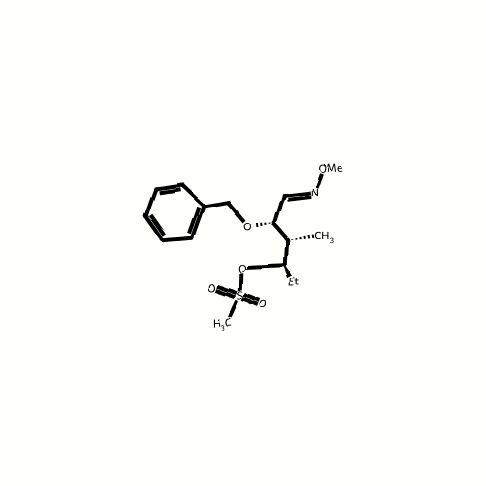 CC[C@@H](OS(C)(=O)=O)[C@@H](C)[C@@H](C=NOC)OCc1ccccc1